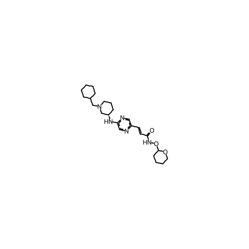 O=C(/C=C/c1cnc(N[C@@H]2CCCN(CC3CCCCC3)C2)cn1)NOC1CCCCO1